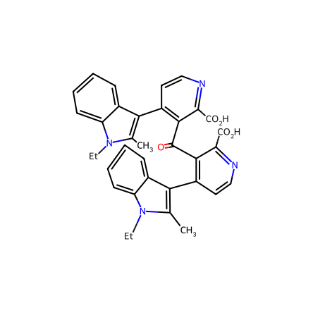 CCn1c(C)c(-c2ccnc(C(=O)O)c2C(=O)c2c(-c3c(C)n(CC)c4ccccc34)ccnc2C(=O)O)c2ccccc21